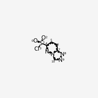 O=S(=O)(Cl)c1ccc2nncn2n1